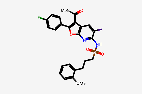 CNC(=O)c1c(-c2ccc(F)cc2)oc2nc(NS(=O)(=O)CCCc3ccccc3OC)c(I)cc12